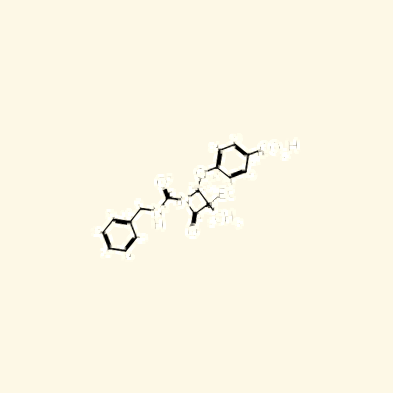 CC[C@@]1(C)C(=O)N(C(=O)NCc2ccccc2)[C@H]1Oc1ccc(C(=O)O)cc1